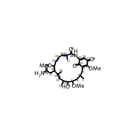 COC1=C2CC(C)CC(OC)C(O)C(C)/C=C(\C)C(CC(N)=O)C(OC)/C=C\C=C(/C)C(=O)NC(=CC1=O)C2=O